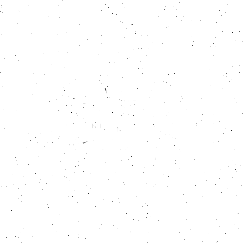 CCC[C@H](CC1(C(=O)N[C@@H](Cc2ncc(-c3ccccc3)o2)C(=O)O)CCCC1)C(=O)O